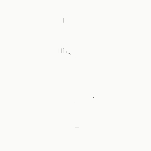 CCCN[C@H]1CC=CC2=C1CCc1sc(OC)nc12